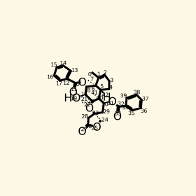 CC1=CCC[C@H]2[C@@]1(C)[C@@H](OC(=O)c1ccccc1)[C@H](O)[C@]1(C)O[C@@]3(COC(=O)C3)C[C@H](OC(=O)c3ccccc3)[C@]21C